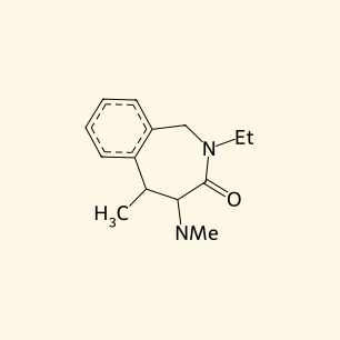 CCN1Cc2ccccc2C(C)C(NC)C1=O